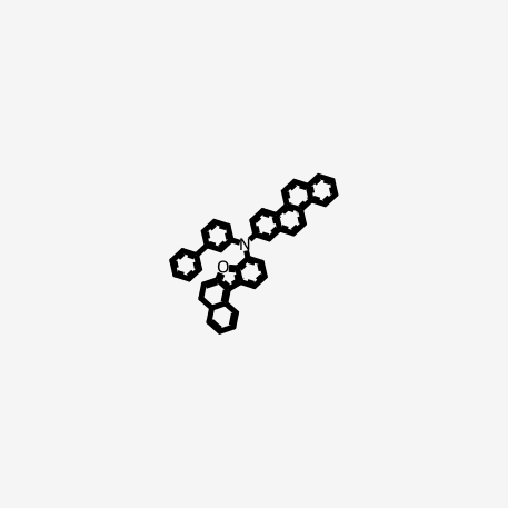 C1=CC2=c3c(oc4c(N(c5cccc(-c6ccccc6)c5)c5ccc6c(ccc7c8ccccc8ccc67)c5)cccc34)=CCC2C=C1